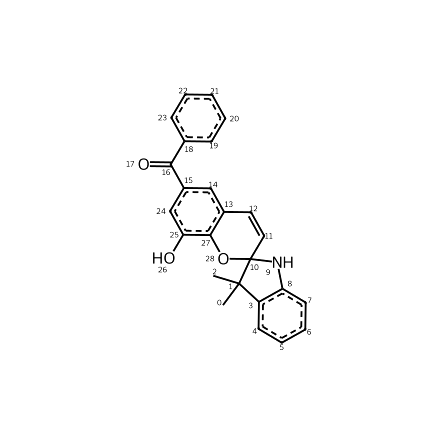 CC1(C)c2ccccc2NC12C=Cc1cc(C(=O)c3ccccc3)cc(O)c1O2